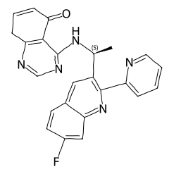 C[C@H](Nc1ncnc2c1C(=O)C=CC2)c1cc2ccc(F)cc2nc1-c1ccccn1